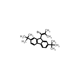 CC(C)=C(Br)C1c2cc(C(C)(C)C)ccc2-c2ccc(C(C)(C)C)cc21